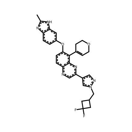 Cc1nc2ccc(Oc3ccc4ncc(-c5cnn(CC6CC(F)(F)C6)c5)nc4c3C3=CCOCC3)cc2[nH]1